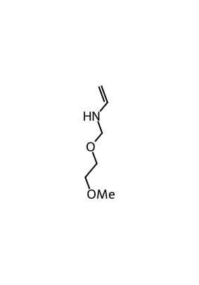 C=CNCOCCOC